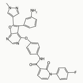 Cn1cc(-c2oc3ncnc(Oc4ccc(NC(=O)c5cccn(-c6ccc(F)cc6)c5=O)cc4)c3c2-c2cccc(N)c2)cn1